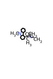 C=C/C=C(\C)C(C)(C)c1cccc2c1c1ccccc1n2C